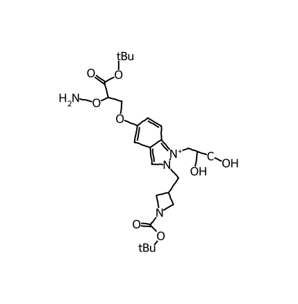 CC(C)(C)OC(=O)C(COc1ccc2c(c1)cn(CC1CN(C(=O)OC(C)(C)C)C1)[n+]2CC(O)CO)ON